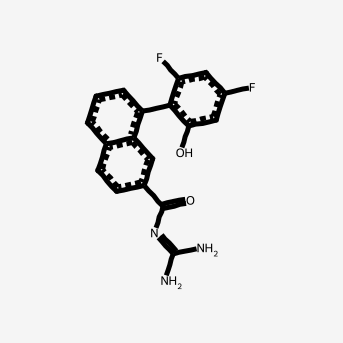 NC(N)=NC(=O)c1ccc2cccc(-c3c(O)cc(F)cc3F)c2c1